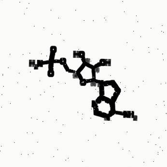 Nc1ncnc2c1ccn2[C@@H]1O[C@H](COS(N)(=O)=O)[C@@H](O)[C@H]1O